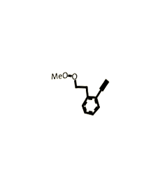 C#Cc1ccccc1CCOOC